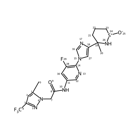 Cc1cc(C(F)(F)F)nn1CC(=O)Nc1cnc(-n2cnc(C3(C)CCC[S+]([O-])N3)c2)c(F)c1